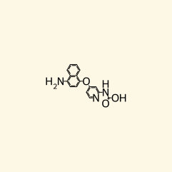 Nc1ccc(Oc2ccnc(NC(=O)O)c2)c2ccccc12